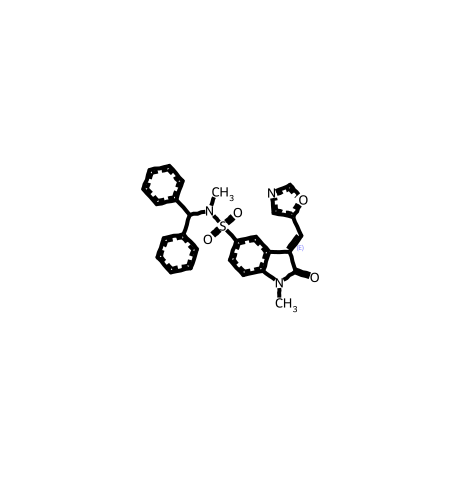 CN1C(=O)/C(=C/c2cnco2)c2cc(S(=O)(=O)N(C)C(c3ccccc3)c3ccccc3)ccc21